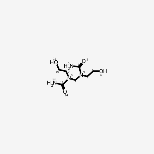 NC(=O)N(CCO)CN(CCO)C(N)=O